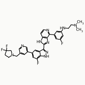 CN(C)CCNc1cc(F)cc(-c2nccc3[nH]c(-c4n[nH]c5c(F)cc(-c6cncc(CN7CCC(F)(F)C7)c6)cc45)nc23)c1